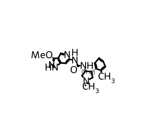 COc1n[nH]c2cc(NC(=O)N[C@@H]3CN(C)C[C@H]3c3ccccc3C)ncc12